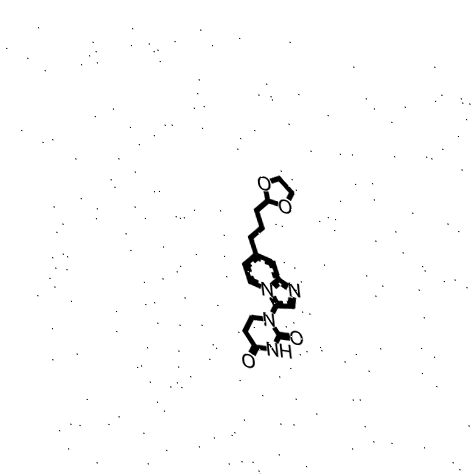 O=C1CCN(c2cnc3cc(CCCC4OCCO4)ccn23)C(=O)N1